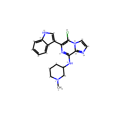 CN1CCCC(Nc2nc(-c3c[nH]c4ccccc34)c(Cl)n3ccnc23)C1